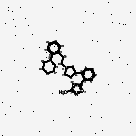 Cc1noc(-c2ccccc2C2CCN(CCc3ccccc3N3CCCCC3)C2)n1